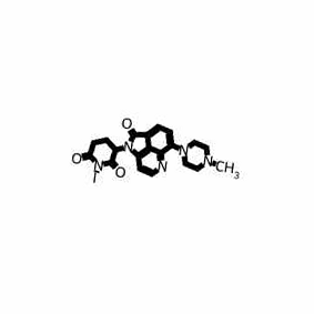 CN1CCN(c2ccc3c4c(ccnc24)N(C2CCC(=O)N(I)C2=O)C3=O)CC1